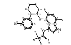 Cc1cc(C)c2[nH]cc(OC(=O)C(C)(C)C)c2c1CN1CCCCC1c1cccc(Br)c1